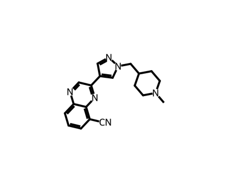 CN1CCC(Cn2cc(-c3cnc4cccc(C#N)c4n3)cn2)CC1